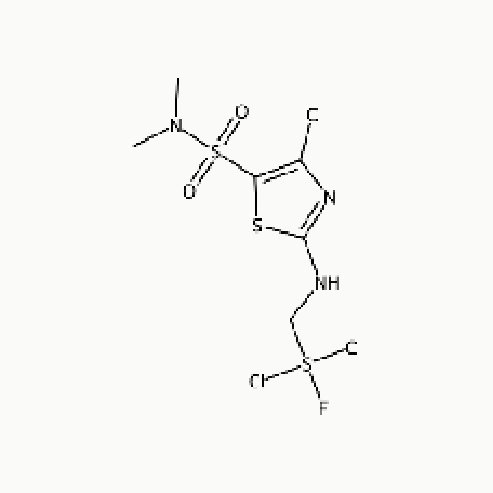 CN(C)S(=O)(=O)c1sc(NCS(F)(Cl)Cl)nc1Cl